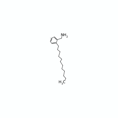 CCCCCCCCCCCCc1cc[c]cc1CN